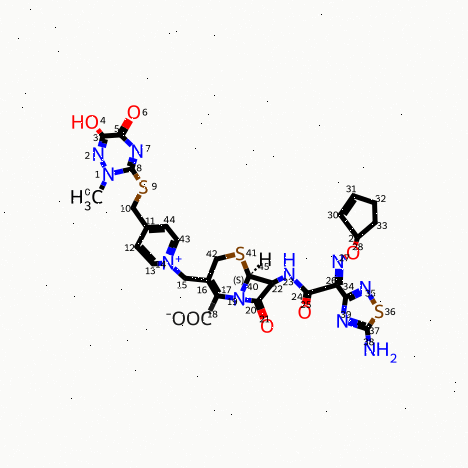 Cn1nc(O)c(=O)nc1SCc1cc[n+](CC2=C(C(=O)[O-])N3C(=O)C(NC(=O)C(=NOC4C=CCC4)c4nsc(N)n4)[C@@H]3SC2)cc1